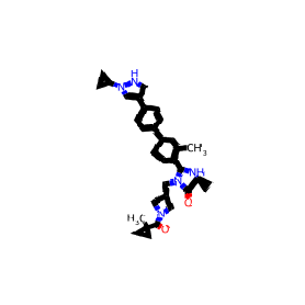 CC1=C(C2NC3(CC3)C(=O)N2CC2CN(C(=O)C3(C)CC3)C2)C=CC(c2ccc(C3=CN(C4CC4)NC3)cc2)C1